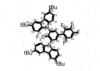 CC(C)(C)c1ccc2c(c1)c1cc(C(C)(C)C)ccc1n2-c1cc(-c2c(F)cc(F)c(F)c2F)cc(-n2c3ccc(C(C)(C)C)cc3c3cc(C(C)(C)C)ccc32)c1C(F)(F)F